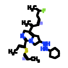 C=C(/C=C\CC(C)F)C1=C2CC(NNC3CCCCC3)CN2C(C(=CC)S/C=C\C)=NC1